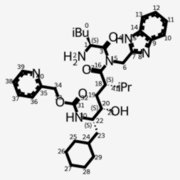 CCC(C)[C@H](N)C(=O)N(Cc1nc2ccccc2[nH]1)C(=O)[C@@H](C[C@H](O)[C@H](CC1CCCCC1)NC(=O)OCc1ccccn1)C(C)C